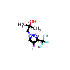 CC(C)(O)Cn1cc(I)c(C(F)(F)F)n1